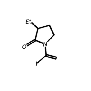 C=C(I)N1CCC(CC)C1=O